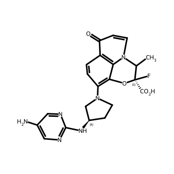 CC1n2ccc(=O)c3ccc(N4CC[C@@H](Nc5ncc(N)cn5)C4)c(c32)O[C@@]1(F)C(=O)O